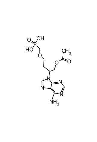 CC(=O)OCC(CCOCP(=O)(O)O)n1cnc2c(N)ncnc21